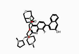 CN1CCN(CCCC(=O)N2C3COCC2CN(c2nc(OC[C@@H]4CCCN4C)nc4c(F)c(-c5cc(O)cc6ccccc56)ccc24)C3)CC1